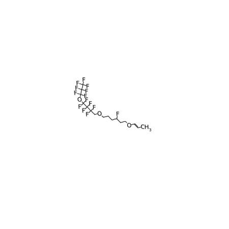 CC=COCCC(F)CCCOCC(F)(F)C(F)(F)C(F)(F)OC(F)(F)C(F)(F)C(F)(F)F